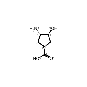 N[C@H]1CN(C(=O)O)C[C@@H]1O